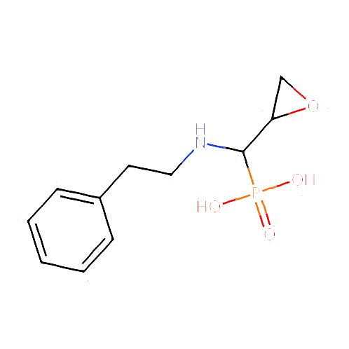 O=P(O)(O)C(NCCc1ccccc1)C1CO1